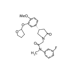 COc1ccc([C@@H]2CC(=O)N(CC(=O)N(C)c3cccc(F)c3)C2)cc1OC1CCCO1